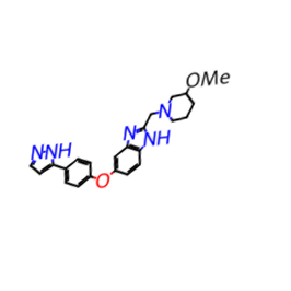 COC1CCCN(Cc2nc3cc(Oc4ccc(-c5ccn[nH]5)cc4)ccc3[nH]2)C1